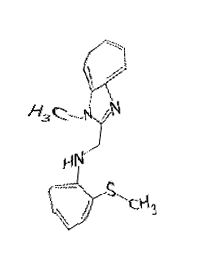 CSc1ccccc1NCc1nc2ccccc2n1C